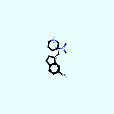 CN(C)[C@]1(C[C@@H]2CCc3ccc(C(F)(F)F)cc32)CCCNC1